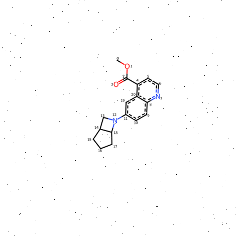 COC(=O)c1ccnc2ccc(N3CC4CCCC43)cc12